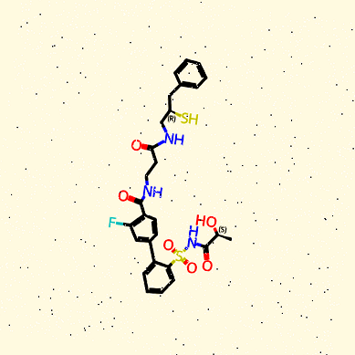 C[C@H](O)C(=O)NS(=O)(=O)c1ccccc1-c1ccc(C(=O)NCCC(=O)NC[C@H](S)Cc2ccccc2)c(F)c1